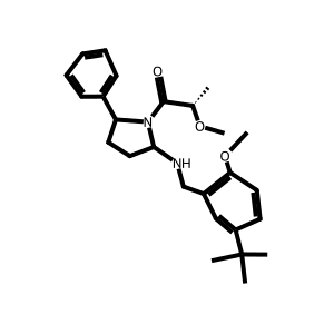 COc1ccc(C(C)(C)C)cc1CNC1CCC(c2ccccc2)N1C(=O)[C@H](C)OC